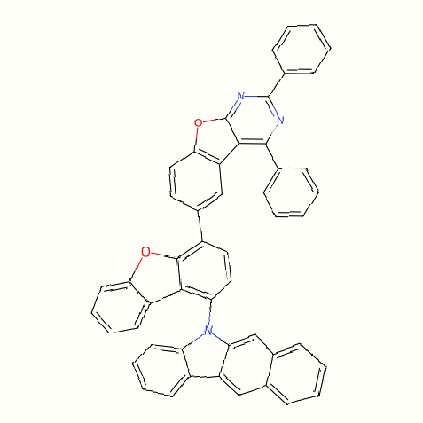 c1ccc(-c2nc(-c3ccccc3)c3c(n2)oc2ccc(-c4ccc(-n5c6ccccc6c6cc7ccccc7cc65)c5c4oc4ccccc45)cc23)cc1